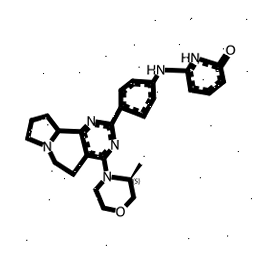 C[C@H]1COCCN1c1nc(-c2ccc(Nc3cccc(=O)[nH]3)cc2)nc2c1CCN1CCCC21